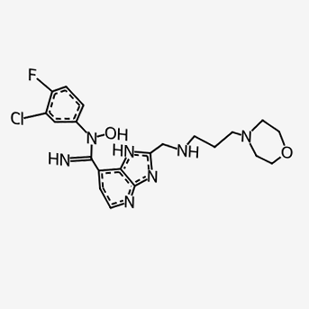 N=C(c1ccnc2nc(CNCCCN3CCOCC3)[nH]c12)N(O)c1ccc(F)c(Cl)c1